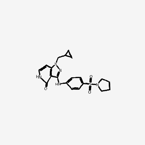 O=c1[nH]ccc2c1c(Nc1ccc(S(=O)(=O)N3CCCC3)cc1)nn2CC1CC1